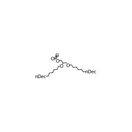 CCCCCCCCCCCCCCCCOCC(COP(=O)=O)OCCCCCCCCCCCCCCCC